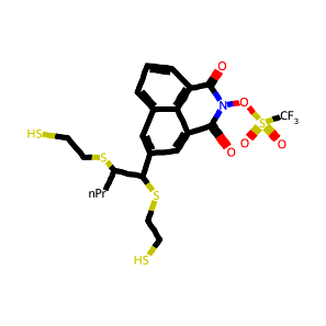 CCCC(SCCS)C(SCCS)c1cc2c3c(cccc3c1)C(=O)N(OS(=O)(=O)C(F)(F)F)C2=O